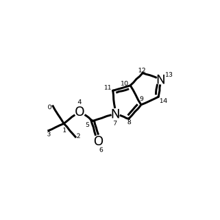 CC(C)(C)OC(=O)n1cc2c(c1)CN=C2